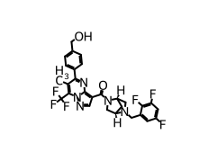 Cc1c(-c2ccc(CO)cc2)nc2c(C(=O)N3C[C@@H]4C[C@H]3CN4Cc3cc(F)cc(F)c3F)cnn2c1C(F)(F)F